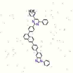 C/C=C\C(=C/C)c1cc(-c2ccccc2)nc(-c2ccc(-c3cccc4cc(-c5ccc(-c6ccc7c(c6)ncn7-c6ccccc6)cc5)ccc34)cc2)n1